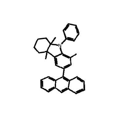 Cc1cc(-c2c3ccccc3cc3ccccc23)cc2c1N(c1ccccc1)C1(C)CCCCC21C